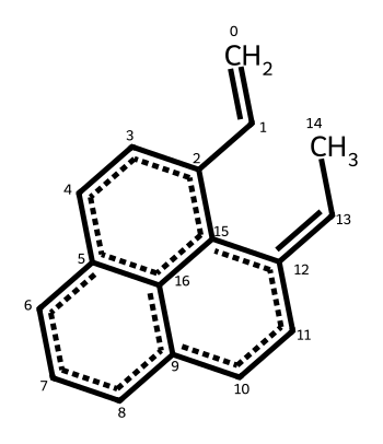 C=Cc1ccc2cccc3cc/c(=C/C)c1c23